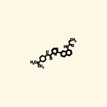 C=CC(=O)Nc1cccc2ccc(-c3nccc(C(=O)NC4CCC(N(C)C)CC4)n3)cc12